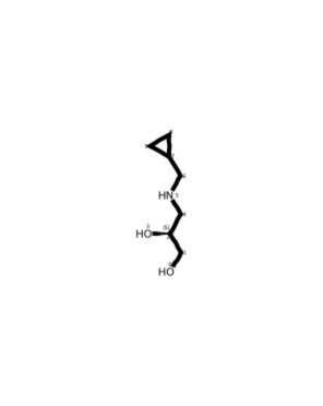 OC[C@@H](O)CNCC1CC1